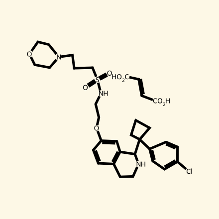 O=C(O)C=CC(=O)O.O=S(=O)(CCCN1CCOCC1)NCCOc1ccc2c(c1)C(C1(c3ccc(Cl)cc3)CCC1)NCC2